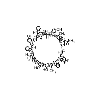 CCCC[C@H]1C(=O)N2C[C@@H](O)C[C@@H]2C(=O)N[C@@H](CC(=O)O)C(=O)N[C@@H](C(C)C)C(=O)N(C)[C@@H](Cc2ccccc2)C(=O)N[C@@H](Cc2ccc(O)cc2)CC(=O)N2CCC[C@@H]2C(=O)N[C@@H]([C@@H](C)c2c[nH]c3ccccc23)C(=O)N[C@@H](Cc2ccc(O)cc2)C(=O)N[C@@H](CC(C)C)C(=O)N[C@H](C(=O)NCC(N)=O)CSCC(=O)N[C@@H](Cc2cc(F)c(F)c(F)c2)C(=O)N(C)[C@@H](Cc2ccccc2)C(=O)N1C